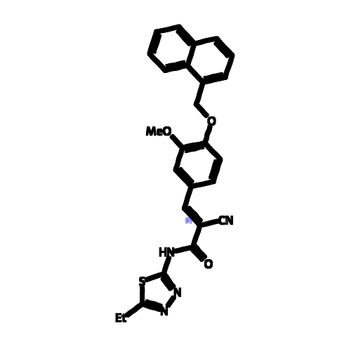 CCc1nnc(NC(=O)/C(C#N)=C/c2ccc(OCc3cccc4ccccc34)c(OC)c2)s1